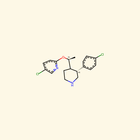 C[C@H](Oc1ccc(Cl)cn1)C1CCNC[C@H]1c1ccc(Cl)cc1